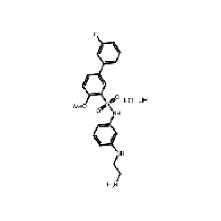 COc1ccc(-c2cccc(F)c2)cc1S(=O)(=O)Nc1cccc(NCCN)c1.Cl.Cl